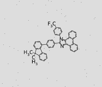 CC1(C)c2ccccc2-c2c(-c3ccc(-c4nc5c6ccccc6c6ccccc6c5n4-c4ccc(C(F)(F)F)cc4)cc3)cccc21